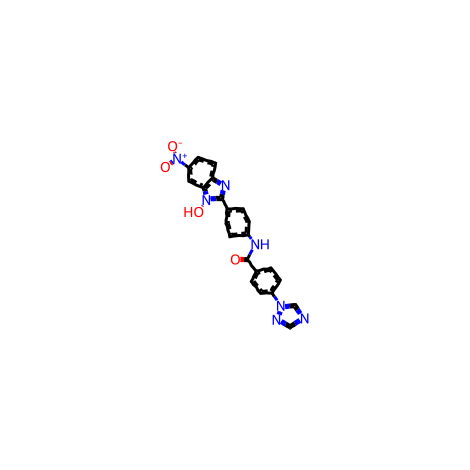 O=C(Nc1ccc(-c2nc3ccc([N+](=O)[O-])cc3n2O)cc1)c1ccc(-n2cncn2)cc1